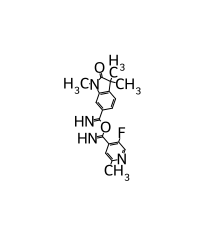 Cc1cc(C(=N)OC(=N)c2ccc3c(c2)N(C)C(=O)C3(C)C)c(F)cn1